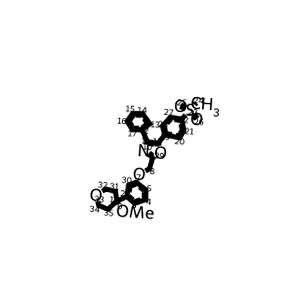 COC1(c2cccc(OCc3nc(-c4ccccc4)c(-c4ccc(S(C)(=O)=O)cc4)o3)c2)CCOCC1